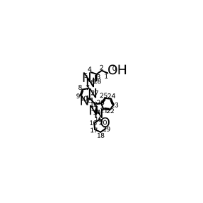 OCCc1cnn(-c2ccnc(-c3nn(C4CCCCO4)c4ccccc34)n2)c1